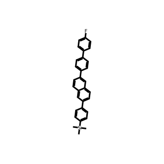 C[Si](C)(C)c1ccc(-c2ccc3cc(-c4ccc(-c5ccc(F)cc5)cc4)ccc3c2)cc1